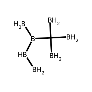 BBB(B)C(B)(B)B